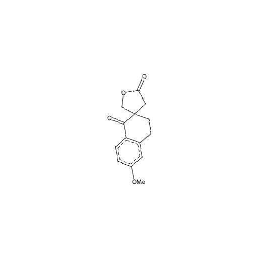 COc1ccc2c(c1)CCC1(COC(=O)C1)C2=O